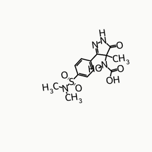 CN(C)S(=O)(=O)c1ccc(C2=NNC(=O)C2(C)N(O)C(=O)O)cc1